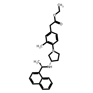 CCOC(=O)Cc1ccc(N2CC[C@H](N[C@H](C)c3cccc4ccccc34)C2)c(C)c1